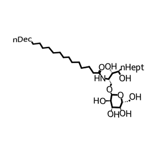 CCCCCCCCCCCCCCCCCCCCCCCC(=O)N[C@@H](CO[C@H]1O[C@H](CO)[C@H](O)[C@H](O)[C@H]1O)[C@H](O)[C@H](O)CCCCCCC